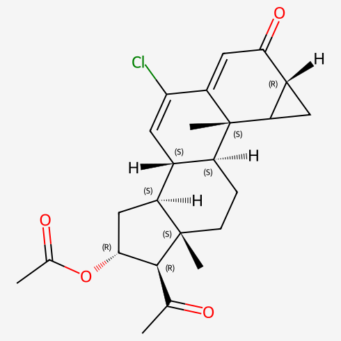 CC(=O)O[C@@H]1C[C@H]2[C@@H]3C=C(Cl)C4=CC(=O)[C@@H]5CC5[C@]4(C)[C@H]3CC[C@]2(C)[C@H]1C(C)=O